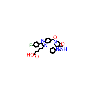 O=C(O)CCCCc1nc2cc(C(=O)N3CCC4(CC3)C(=O)NCN4c3ccccc3)ccc2nc1-c1ccc(F)cc1